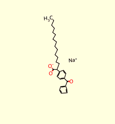 CCCCCCCCCCCCCCC(C(=O)[O-])c1ccc(C(=O)c2ccccc2)cc1.[Na+]